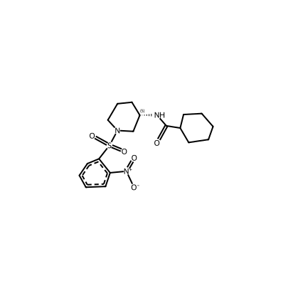 O=C(N[C@H]1CCCN(S(=O)(=O)c2ccccc2[N+](=O)[O-])C1)C1CCCCC1